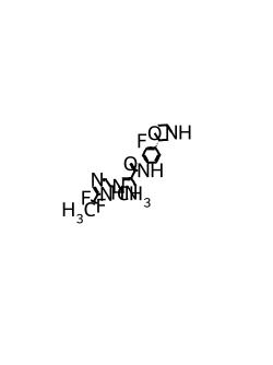 CN(/C=C(\C=N)C(=O)Nc1ccc([C@H]2CNCCO2)c(F)c1)c1cncc(C(C)(F)F)n1